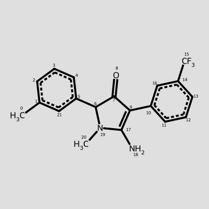 Cc1cccc(C2C(=O)C(c3cccc(C(F)(F)F)c3)=C(N)N2C)c1